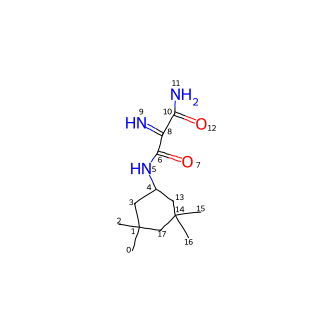 CC1(C)CC(NC(=O)C(=N)C(N)=O)CC(C)(C)C1